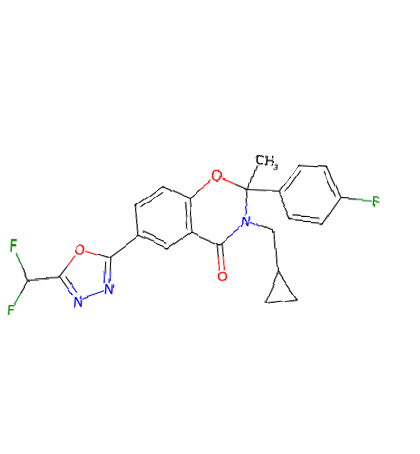 CC1(c2ccc(F)cc2)Oc2ccc(-c3nnc(C(F)F)o3)cc2C(=O)N1CC1CC1